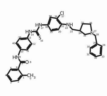 Cc1ccccc1C(=O)Nc1ccc(NC(=S)Nc2ccc(NCC3CCN(Cc4ccccc4)C3)c(Cl)c2)cc1